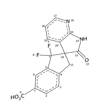 O=C(O)c1ccc2c(c1)C(F)(F)C1(C2)C(=O)Nc2ncccc21